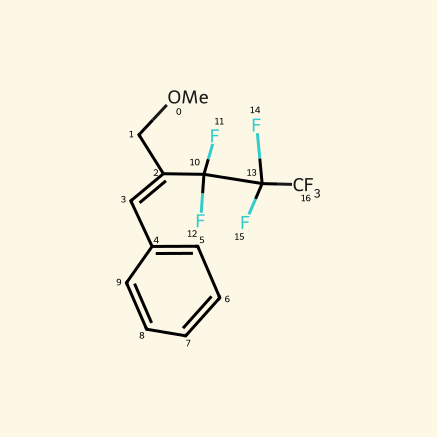 COCC(=Cc1ccccc1)C(F)(F)C(F)(F)C(F)(F)F